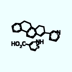 C1=C(c2cccnc2)CCc2c1ccc1c2CCc2ccccc2-1.O=C(O)C1=CNSC=C1